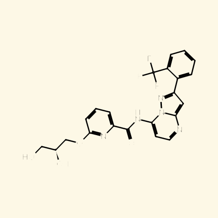 O=C(Nc1ccnc2cc(-c3ccccc3C(F)(F)F)nn12)c1cccc(OC[C@@H](O)CO)n1